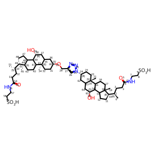 C[C@H](CCC(=O)NCCS(=O)(=O)O)[C@H]1CCC2C3C(CC[C@@]21C)[C@@]1(C)CC[C@@H](n2cc(CO[C@H]4CC[C@]5(C)C(C4)C[C@@H](O)C4C5CC[C@]5(C)C4CC[C@H]5[C@@H](C)CCC(=O)NCCS(=O)(=O)O)nn2)CC1C[C@@H]3O